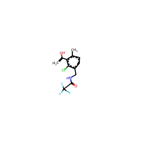 C=C(O)c1c(C)ccc(CNC(=O)C(F)(F)F)c1Cl